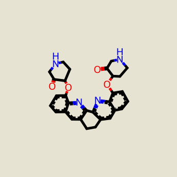 O=C1CNCCC1Oc1cccc2cc3c(nc12)-c1nc2c(OC4CCNCC4=O)cccc2cc1CC3